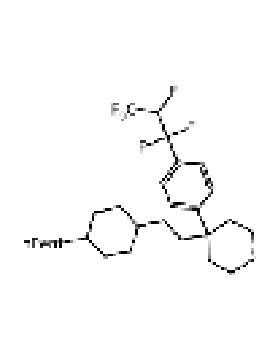 CCCCCC1CCC(CCC2(c3ccc(C(F)(F)C(F)C(F)(F)F)cc3)CCCCC2)CC1